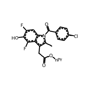 CCCOC(=O)Cc1c(C)n(C(=O)c2ccc(Cl)cc2)c2cc(F)c(O)c(F)c12